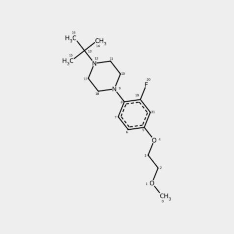 COCCOc1ccc(N2CCN(C(C)(C)C)CC2)c(F)c1